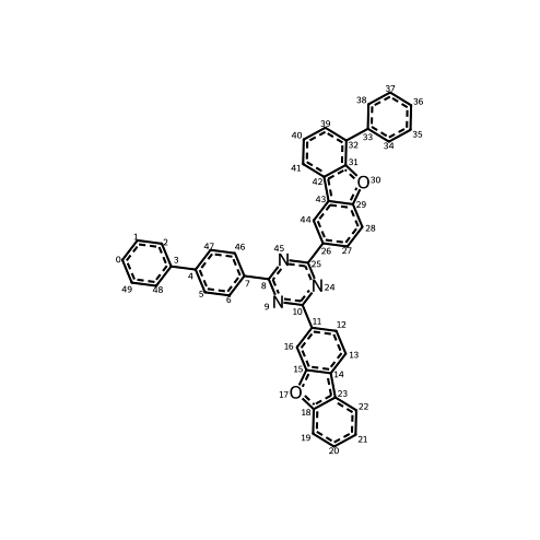 c1ccc(-c2ccc(-c3nc(-c4ccc5c(c4)oc4ccccc45)nc(-c4ccc5oc6c(-c7ccccc7)cccc6c5c4)n3)cc2)cc1